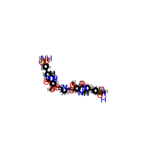 CNS(=O)(=O)c1ccc(C2=CCN3C(=O)c4cc(OC)c(OCc5cccc(COc6cc7c(cc6OC)C(=O)N6CC=C(c8ccc(S(=O)(=O)NC)cc8)C[C@H]6C=N7)n5)cc4N=C[C@@H]3C2)cc1